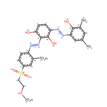 O=[N+]([O-])c1cc(/N=N/c2ccc(O)c(/N=N/c3ccc(S(=O)(=O)CCOS(=O)(=O)O)cc3S(=O)(=O)O)c2O)c(O)c([N+](=O)[O-])c1